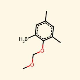 Bc1cc(C)cc(C)c1OCOC